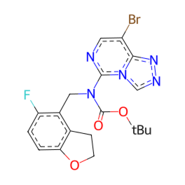 CC(C)(C)OC(=O)N(Cc1c(F)ccc2c1CCO2)c1ncc(Br)c2nncn12